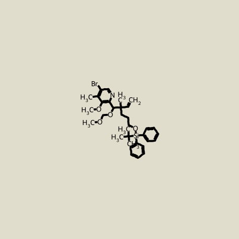 C=CC(C)(CCCO[Si](c1ccccc1)(c1ccccc1)C(C)(C)C)C(OCOC)c1ncc(Br)c(C)c1OC